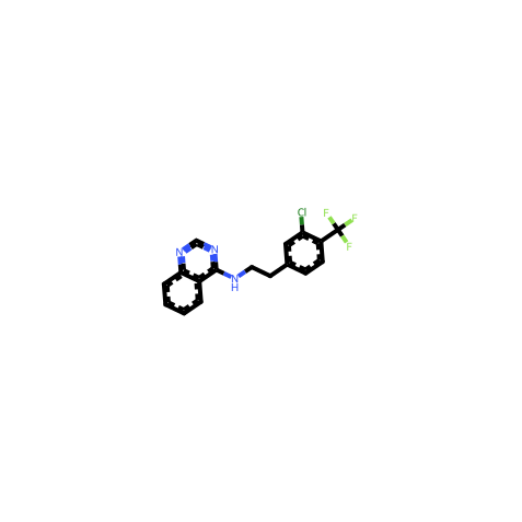 FC(F)(F)c1ccc(CCNc2ncnc3ccccc23)cc1Cl